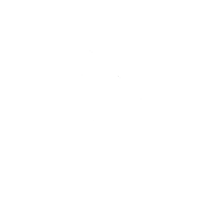 CC1=C(C(=O)OCCOc2ccccc2)C(c2c(F)ccc(Cl)c2Cl)C2=C(CNCC2=O)N1